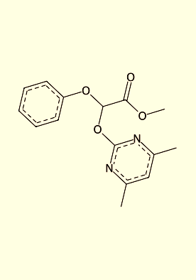 COC(=O)C(Oc1ccccc1)Oc1nc(C)cc(C)n1